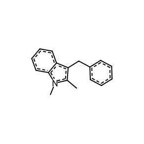 Cc1c(Cc2ccccc2)c2ccccc2n1C